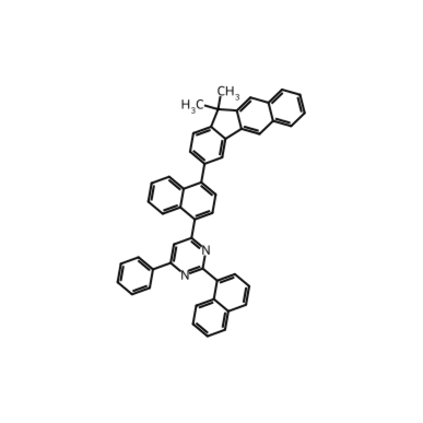 CC1(C)c2ccc(-c3ccc(-c4cc(-c5ccccc5)nc(-c5cccc6ccccc56)n4)c4ccccc34)cc2-c2cc3ccccc3cc21